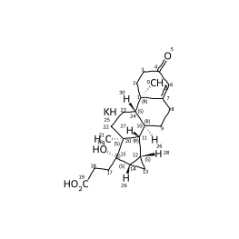 C[C@]12CCC(=O)C=C1CC[C@H]1[C@@H]3[C@@H]4C[C@@H]4[C@@](O)(CCC(=O)O)[C@@]3(C)CC[C@@H]12.[KH]